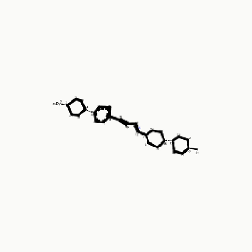 CCC[C@H]1CC[C@H](c2ccc(C#C/C=C/C3CCC([C@H]4CC[C@H](C)CC4)CC3)cc2)CC1